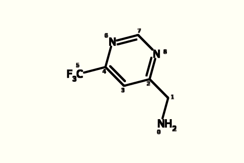 NCc1cc(C(F)(F)F)ncn1